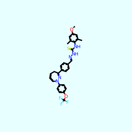 COc1cc(C)c(NC(=S)N/N=C/c2ccc(C3=NN(c4ccc(OC(F)(F)F)cc4)C=C=CC3)cc2)c(C)c1